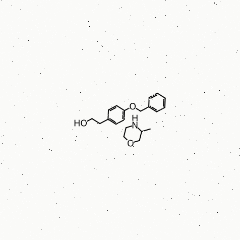 CC1COCCN1.OCCc1ccc(OCc2ccccc2)cc1